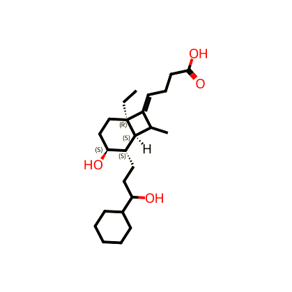 CC[C@@]12CC[C@H](O)[C@@H](CCC(O)C3CCCCC3)[C@@H]1C(C)C2=CCCC(=O)O